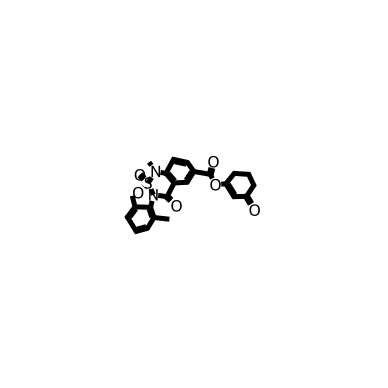 Cc1cccc(C)c1N1C(=O)c2cc(C(=O)OC3=CC(=O)CCC3)ccc2N(C)S1(=O)=O